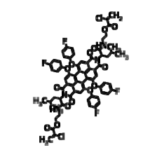 C=C(Cl)C(=O)OCCNC(=O)C(CC(C)C)N1C(=O)c2cc(Oc3ccc(F)cc3)c3c4c(Oc5ccc(F)cc5)cc5c6c(cc(Oc7ccc(F)cc7)c(c7c(Oc8ccc(F)cc8)cc(c2c37)C1=O)c64)C(=O)N(C(CC(C)C)C(=O)NCCOC(=O)C(=C)Cl)C5=O